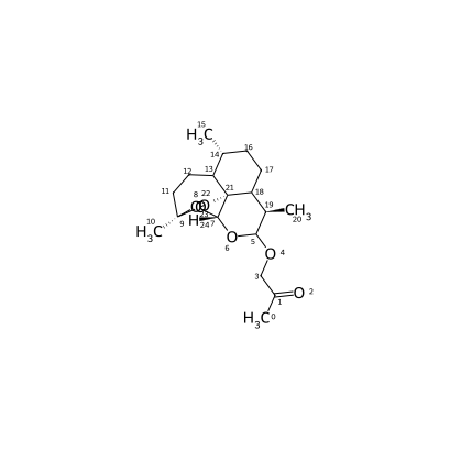 CC(=O)COC1O[C@@H]2O[C@]3(C)CCC4[C@H](C)CCC([C@H]1C)[C@]42OO3